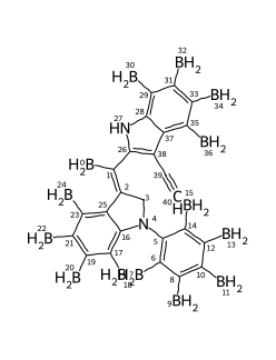 B/C(=C1/CN(c2c(B)c(B)c(B)c(B)c2B)c2c(B)c(B)c(B)c(B)c21)c1[nH]c2c(B)c(B)c(B)c(B)c2c1C#C